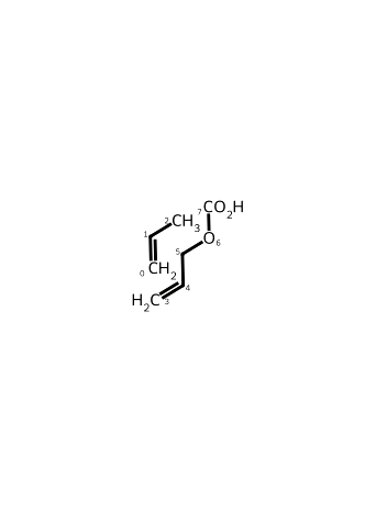 C=CC.C=CCOC(=O)O